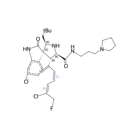 C=C(/C=C\C=C(\Cl)CF)[C@H]1[C@H](C(=O)NCCCN2CCCC2)N[C@H](CC(C)(C)C)[C@]12C(=O)Nc1cc(Cl)ccc12